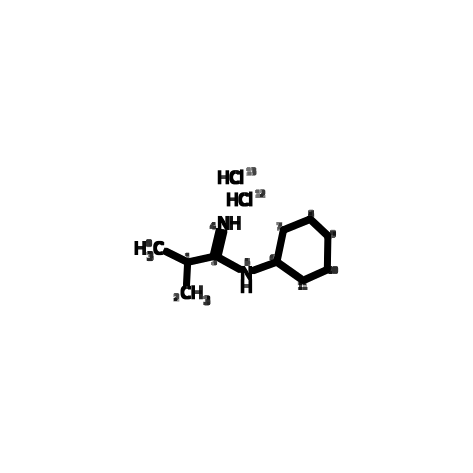 CC(C)C(=N)NC1CCCCC1.Cl.Cl